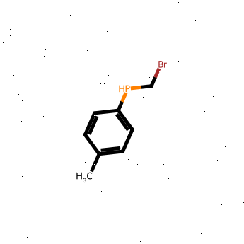 Cc1ccc(PCBr)cc1